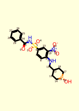 O=C(NS(=O)(=O)c1ccc(NCC2CCP(O)CC2)c([N+](=O)[O-])c1)c1ccccc1